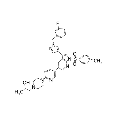 Cc1ccc(S(=O)(=O)n2cc(-c3cnn(Cc4cccc(F)c4)c3)c3cc(-c4ccc(N5CCN(CC(C)O)CC5)nc4)cnc32)cc1